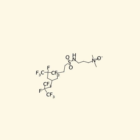 C[N+](C)([O-])CCCNS(=O)(=O)CCCCC(CC(F)(C(F)(F)F)C(F)(F)F)CC(F)(C(F)(F)F)C(F)(F)F